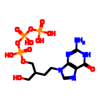 Nc1nc2c(ncn2CCC(CO)COP(=O)(O)OP(=O)(O)OP(=O)(O)O)c(=O)[nH]1